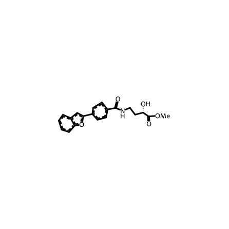 COC(=O)[C@@H](O)CCNC(=O)c1ccc(-c2cc3ccccc3o2)cc1